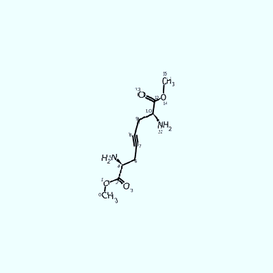 COC(=O)[C@@H](N)CC#CC[C@H](N)C(=O)OC